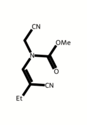 CC/C(C#N)=C/N(CC#N)C(=O)OC